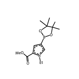 CCn1cc(B2OC(C)(C)C(C)(C)O2)cc1C(=O)OC